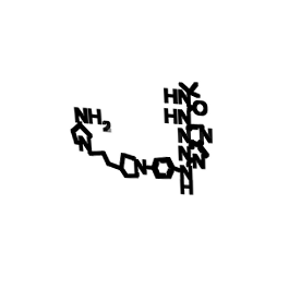 CC(C)(C)NC(=O)Nc1cnc2cnc(Nc3ccc(N4CCC(CCCN5CCC(N)C5)CC4)cc3)nc2n1